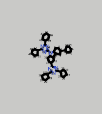 c1ccc(-c2ccc3c(c2)c2cc(-c4nc(-c5ccccc5)nc(-c5ccccc5)n4)ccc2n3-c2nc(-c3ccccc3)nc(-c3ccccc3)n2)cc1